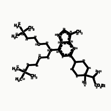 [2H]C(C(=O)OCC)C1([2H])CCC(c2cc(N(COCC[Si](C)(C)C)COCC[Si](C)(C)C)n3ncc(C)c3n2)CC1